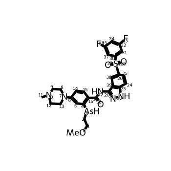 COCC[AsH]c1cc(N2CCN(C)CC2)ccc1C(=O)Nc1n[nH]c2ccc(S(=O)(=O)c3cc(F)cc(F)c3)cc12